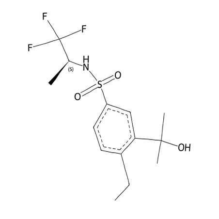 CCc1ccc(S(=O)(=O)N[C@@H](C)C(F)(F)F)cc1C(C)(C)O